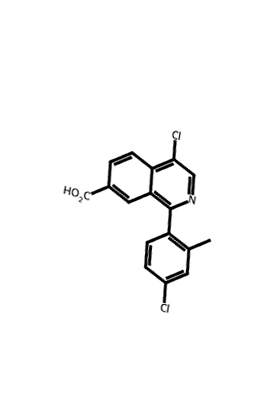 Cc1cc(Cl)ccc1-c1ncc(Cl)c2ccc(C(=O)O)cc12